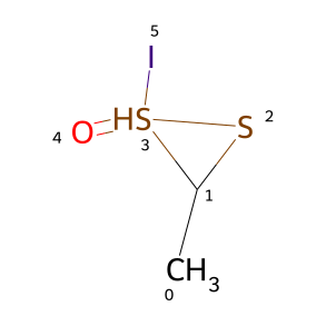 CC1S[SH]1(=O)I